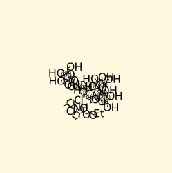 C=C1C[C@@]23CC[C@H]4[C@@](C)(CCC[C@@]4(C)C(=O)O[C@@H]4O[C@H](CO)[C@@H](O)[C@H](O)[C@H]4O)[C@@H]2CC[C@]1(O[C@@H]1O[C@H](CO)[C@@H](O)[C@H](O)[C@H]1O[C@@H]1O[C@H](CO)[C@@H](O)[C@H](O)[C@H]1O)C3.CCOCOC(=O)c1ccccc1Nc1c(Cl)ccc(C)c1Cl